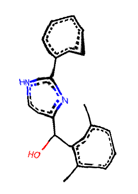 Cc1cccc(C)c1C(O)c1c[nH]c(-c2ccccc2)n1